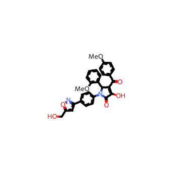 COc1ccc(C(=O)C2=C(O)C(=O)N(c3ccc(-c4cc(CO)on4)cc3)C2c2ccccc2OC)cc1